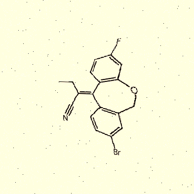 CCC(C#N)=C1c2ccc(Br)cc2COc2cc(F)ccc21